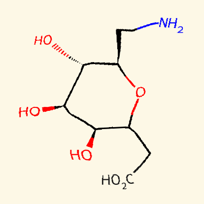 NC[C@H]1OC(CC(=O)O)[C@@H](O)[C@@H](O)[C@@H]1O